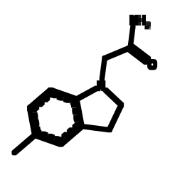 Cc1ccc2c(c1)CCN2CC(N)=O